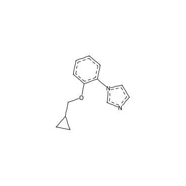 c1ccc(-n2ccnc2)c(OCC2CC2)c1